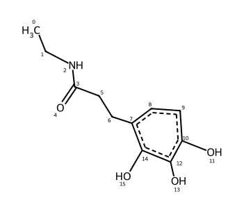 CCNC(=O)CCc1ccc(O)c(O)c1O